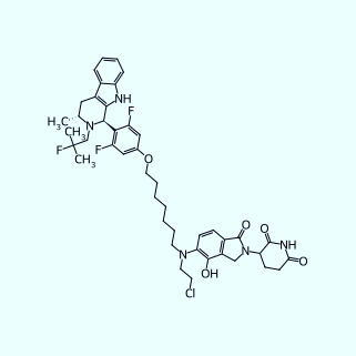 C[C@@H]1Cc2c([nH]c3ccccc23)[C@@H](c2c(F)cc(OCCCCCCCN(CCCl)c3ccc4c(c3O)CN(C3CCC(=O)NC3=O)C4=O)cc2F)N1CC(C)(C)F